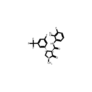 Cc1c(F)cccc1NC(=O)[C@H]1C(=O)N(C)C[C@@H]1c1cc(F)cc(C(F)(F)F)c1